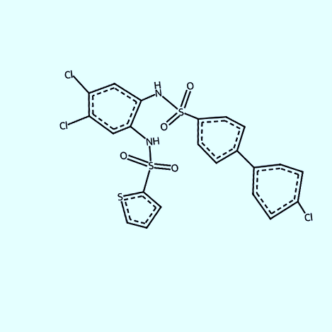 O=S(=O)(Nc1cc(Cl)c(Cl)cc1NS(=O)(=O)c1cccs1)c1ccc(-c2ccc(Cl)cc2)cc1